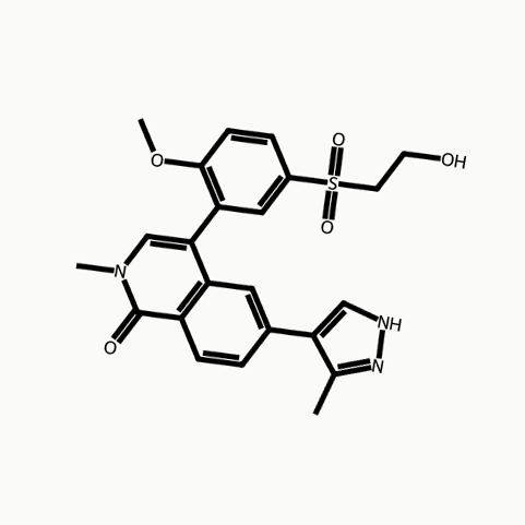 COc1ccc(S(=O)(=O)CCO)cc1-c1cn(C)c(=O)c2ccc(-c3c[nH]nc3C)cc12